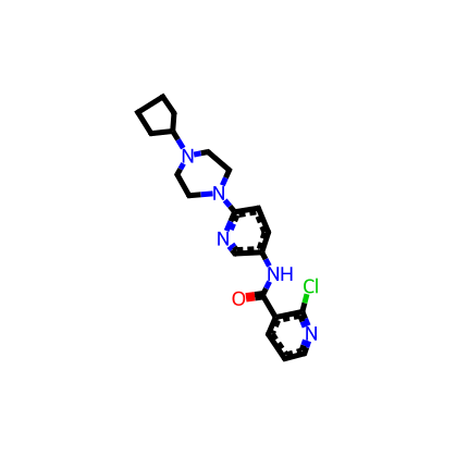 O=C(Nc1ccc(N2CCN(C3CCCC3)CC2)nc1)c1cccnc1Cl